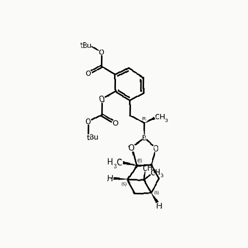 C[C@H](Cc1cccc(C(=O)OC(C)(C)C)c1OC(=O)OC(C)(C)C)B1OC2C[C@@H]3C[C@@H](C3(C)C)[C@]2(C)O1